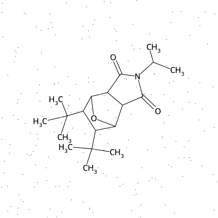 CC(C)N1C(=O)C2C3OC(C2C1=O)C(C(C)(C)C)C3C(C)(C)C